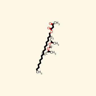 CC(C)[O][Al][O]C(C)C.CCCCCCCCCCCCCCCCCCOC(=O)CC(C)=O